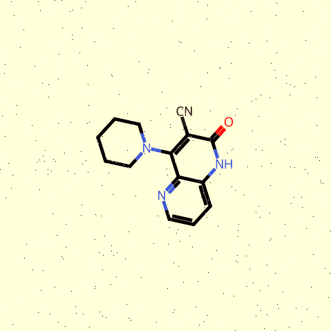 N#Cc1c(N2CCCCC2)c2ncccc2[nH]c1=O